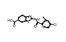 Cc1cc(Cl)cnc1C(=O)Nc1nc2ccc(C(=O)O)cc2s1